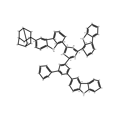 c1ccc(-c2cc(-c3ccc4oc5ccccc5c4c3)cc(-c3nc(-c4cccc5c4oc4ccccc45)nc(-c4cccc5c4oc4ccc(C67CC8CC(CC(C8)C6)C7)cc45)n3)c2)cc1